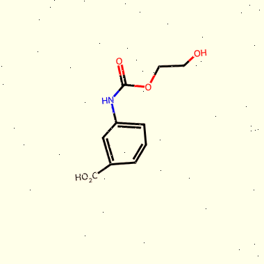 O=C(Nc1cccc(C(=O)O)c1)OCCO